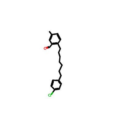 Cc1ccc(CCCCCCCc2ccc(Cl)cc2)c(C=O)c1